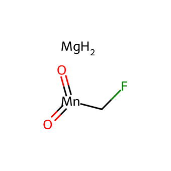 [MgH2].[O]=[Mn](=[O])[CH2]F